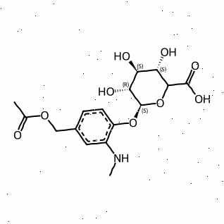 CNc1cc(COC(C)=O)ccc1O[C@@H]1OC(C(=O)O)[C@@H](O)[C@H](O)[C@H]1O